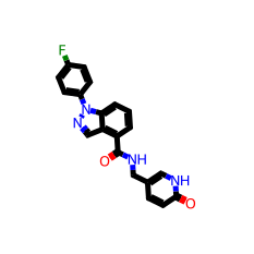 O=C(NCc1ccc(=O)[nH]c1)c1cccc2c1cnn2-c1ccc(F)cc1